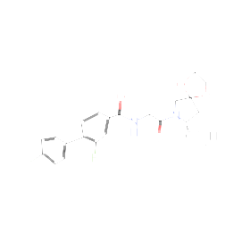 O=C(NCC(=O)N1CC2(C[C@H]1C(=O)O)OCCO2)c1ccc(-c2ccc(F)cc2)c(F)c1